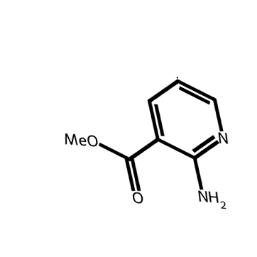 COC(=O)c1c[c]cnc1N